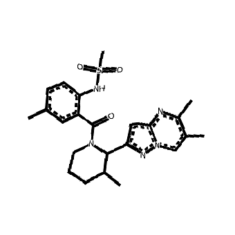 Cc1ccc(NS(C)(=O)=O)c(C(=O)N2CCCC(C)C2c2cc3nc(C)c(C)cn3n2)c1